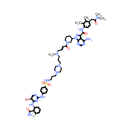 Cc1c(CC(=O)N(C)C)ccc(NC(=O)c2nn(C3CCCN(C(=O)/C=C/CN(C)CCCN4CCN(CCCNS(=O)(=O)c5ccc(Nc6ncc(Br)c(Nc7cccc(F)c7C(N)=O)n6)cc5)CC4)C3)c3ncnc(N)c23)c1C